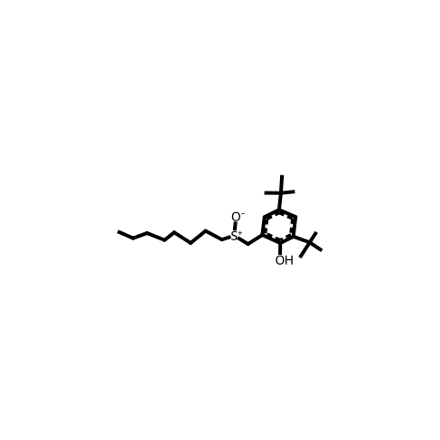 CCCCCCCC[S+]([O-])Cc1cc(C(C)(C)C)cc(C(C)(C)C)c1O